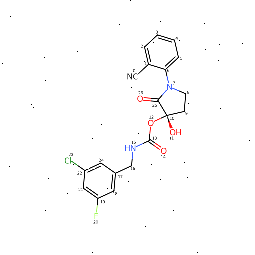 N#Cc1ccccc1N1CC[C@](O)(OC(=O)NCc2cc(F)cc(Cl)c2)C1=O